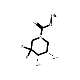 CC(C)(C)OC(=O)N1C[C@H](O)[C@H](O)C(F)(F)C1